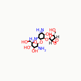 N[C@H]1[C@@H](O[C@H]2[C@H](O[C@@H]3O[C@H](CO)[C@H]4OO[C@@H]34)[C@@H](O)[C@H](N)C[C@@H]2N)O[C@H](CO)[C@@H](O)[C@@H]1O